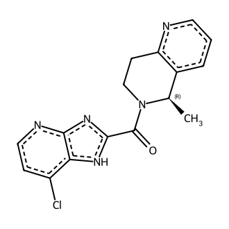 C[C@@H]1c2cccnc2CCN1C(=O)c1nc2nccc(Cl)c2[nH]1